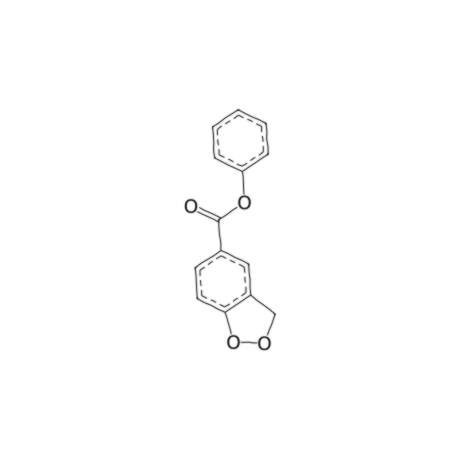 O=C(Oc1ccccc1)c1ccc2c(c1)COO2